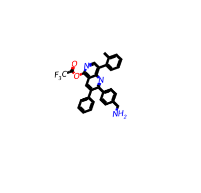 Cc1ccccc1-c1cnc(OC(=O)C(F)(F)F)c2cc(-c3ccccc3)c(-c3ccc(CN)cc3)nc12